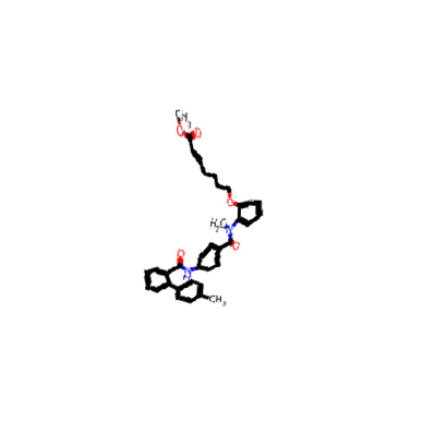 COC(=O)C=CCCCCOc1ccccc1N(C)C(=O)c1ccc(NC(=O)c2ccccc2-c2ccc(C)cc2)cc1